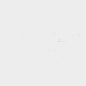 C=C/C=C(Br)\C=C(/C)N(c1ccc2c3ccccc3n(-c3cc(C(C)(C)C)ccn3)c2c1)c1ccco1